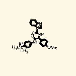 COc1ccc(C(NC(=O)n2cnc3ccccc32)C(=O)Nc2ccc([Si](C)(C)C)cc2)cc1